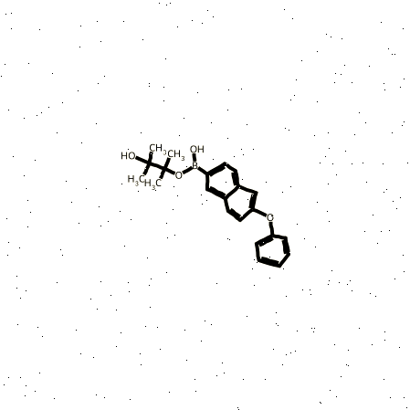 CC(C)(O)C(C)(C)OB(O)c1ccc2cc(Oc3ccccc3)ccc2c1